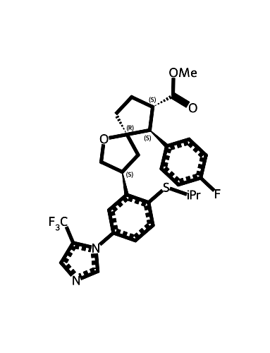 COC(=O)[C@H]1CC[C@@]2(C[C@@H](c3cc(-n4cncc4C(F)(F)F)ccc3SC(C)C)CO2)[C@@H]1c1ccc(F)cc1